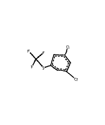 FC(F)(F)Sc1cc(Cl)[c]c(Cl)c1